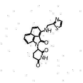 O=C1CCC(N2C(=O)c3c(NCc4nccs4)ccc4cccc2c34)C(=O)N1